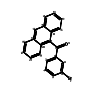 O=C(c1cccc(Br)c1)c1c2ccccc2cc2ccccc12